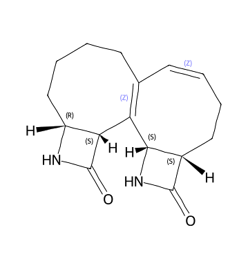 O=C1N[C@@H]2/C3=C(\C=C/CC[C@H]12)CCCC[C@H]1NC(=O)[C@@H]31